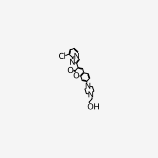 O=c1oc2cc(N3CCN(CCO)CC3)ccc2cc1-c1cn2cccc(Cl)c2n1